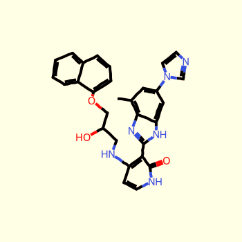 Cc1cc(-n2ccnc2)cc2[nH]c(-c3c(NCC(O)COc4cccc5ccccc45)cc[nH]c3=O)nc12